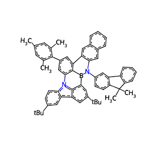 Cc1cc(C)c(-c2cc3c4c(c2)-n2c5ccc(C(C)(C)C)cc5c5cc(C(C)(C)C)cc(c52)B4N(c2ccc4c(c2)-c2ccccc2C4(C)C)c2cc4ccccc4cc2-3)c(C)c1